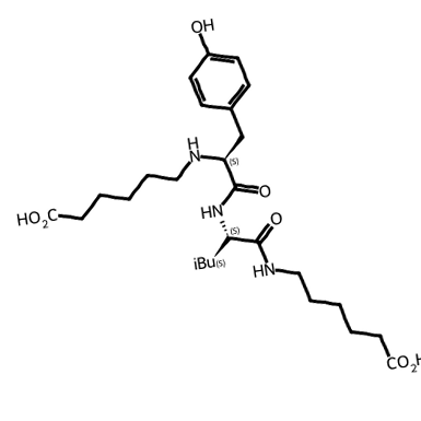 CC[C@H](C)[C@H](NC(=O)[C@H](Cc1ccc(O)cc1)NCCCCCC(=O)O)C(=O)NCCCCCC(=O)O